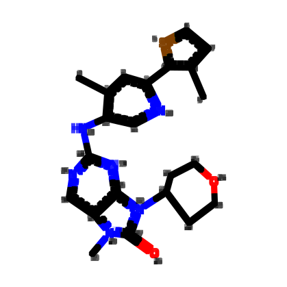 Cc1cc(-c2sccc2C)ncc1Nc1ncc2c(n1)n(C1CCOCC1)c(=O)n2C